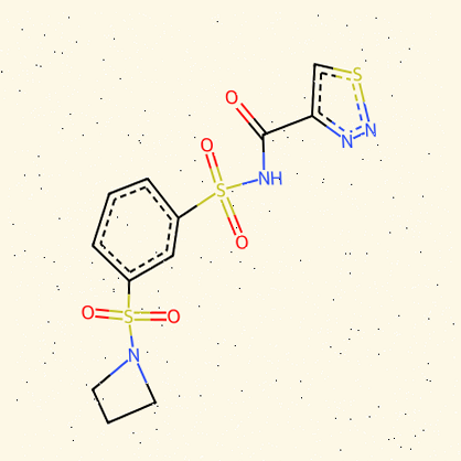 O=C(NS(=O)(=O)c1cccc(S(=O)(=O)N2CCC2)c1)c1csnn1